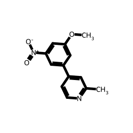 COc1cc(-c2ccnc(C)c2)cc([N+](=O)[O-])c1